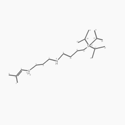 CC(C)=C[SiH2]CCCNCCCC[Si](C(C)C)(C(C)C)C(C)C